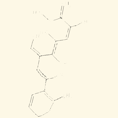 C=C(SC)/C(C)=C\C(C)=C(/C)C(=CC)/C=C(\C)C1=C(C)CCC=C1